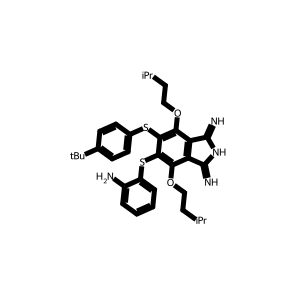 CC(C)CCOc1c(Sc2ccc(C(C)(C)C)cc2)c(Sc2ccccc2N)c(OCCC(C)C)c2c1C(=N)NC2=N